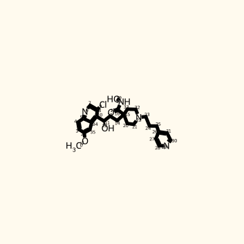 COc1ccc2ncc(Cl)c([C@H](O)CCC3(C(=O)NO)CCN(CCCc4ccncc4)CC3)c2c1